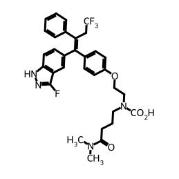 CN(C)C(=O)CCCN(CCOc1ccc(C(=C(CC(F)(F)F)c2ccccc2)c2ccc3[nH]nc(F)c3c2)cc1)C(=O)O